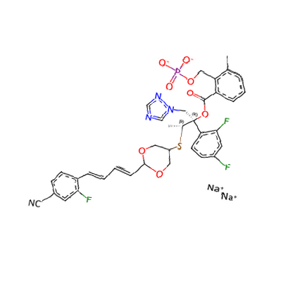 Cc1cccc(C(=O)O[C@@](Cn2cncn2)(c2ccc(F)cc2F)[C@@H](C)SC2COC(C=CC=Cc3ccc(C#N)cc3F)OC2)c1COP(=O)([O-])[O-].[Na+].[Na+]